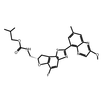 COc1cnc2c(-c3nc4cc(F)c5c(c4s3)C[C@@H](CNC(=O)OCC(C)C)O5)cc(C)cc2n1